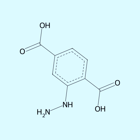 NNc1cc(C(=O)O)ccc1C(=O)O